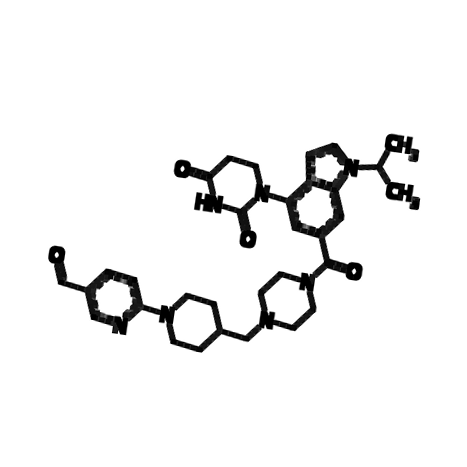 CC(C)n1ccc2c(N3CCC(=O)NC3=O)cc(C(=O)N3CCN(CC4CCN(c5ccc(C=O)cn5)CC4)CC3)cc21